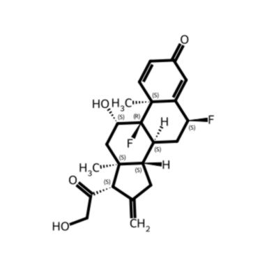 C=C1C[C@H]2[C@@H]3C[C@H](F)C4=CC(=O)C=C[C@]4(C)[C@@]3(F)[C@@H](O)C[C@]2(C)[C@H]1C(=O)CO